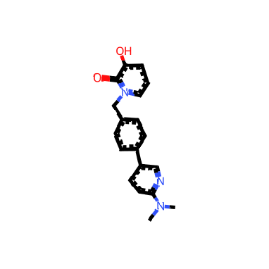 CN(C)c1ccc(-c2ccc(Cn3cccc(O)c3=O)cc2)cn1